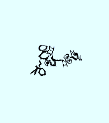 Cn1cnc(S(=O)(=O)NCc2noc([C@H](CCCC3(C(C)(C)C)CCCCC3)CC(=O)O)n2)c1